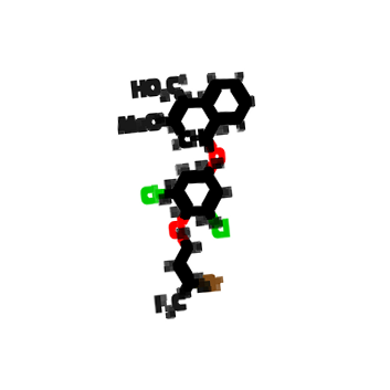 COC(C)=C(C(=O)O)c1ccccc1COc1cc(Cl)c(OCC=C(Br)C(F)(F)F)c(Cl)c1